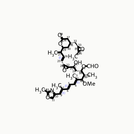 CO[C@@H](/C(C)=C/C=C/C(C)=C/c1coc(C)n1)[C@@H](C)[C@H](C[C@H](O)C1O[C@@H]1/C=C/C(C)C1C[C@@H](C[C@H]2O[C@H]2C)CC(=O)O1)OC=O